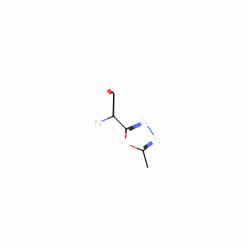 Cc1nnc(C(N)[C]=O)o1